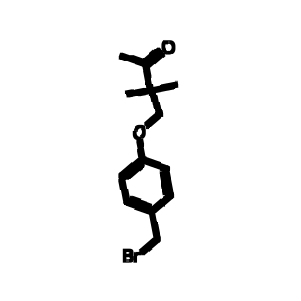 CC(=O)C(C)(C)COc1ccc(CBr)cc1